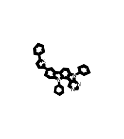 C1=CCCC(n2c3ccc(-c4ccc(-c5ccccc5)s4)cc3c3ccc4c(c5cncnc5n4-c4ccccc4)c32)=C1